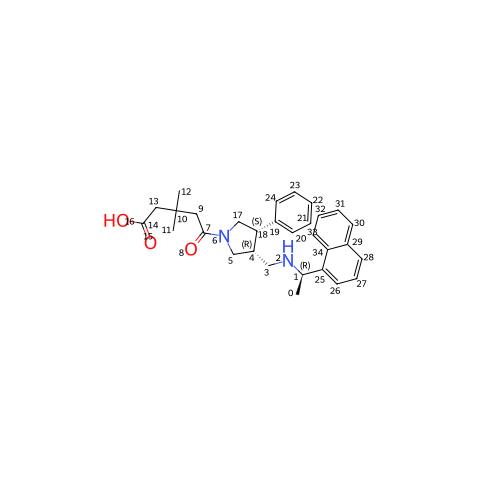 C[C@@H](NC[C@@H]1CN(C(=O)CC(C)(C)CC(=O)O)C[C@@H]1c1ccccc1)c1cccc2ccccc12